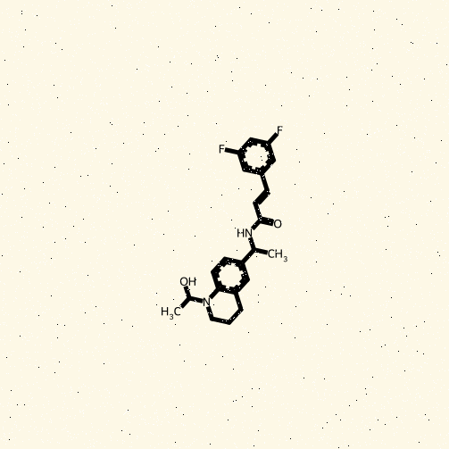 CC(NC(=O)C=Cc1cc(F)cc(F)c1)c1ccc2c(c1)CCCN2C(C)O